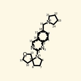 c1cc2nc(N3CCCC34CCOC4)ncc2cc1CN1CCCC1